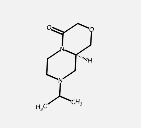 CC(C)N1CCN2C(=O)COC[C@H]2C1